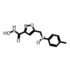 Cc1ccc([S+]([O-])Cc2cc(C(=O)NO)no2)cc1